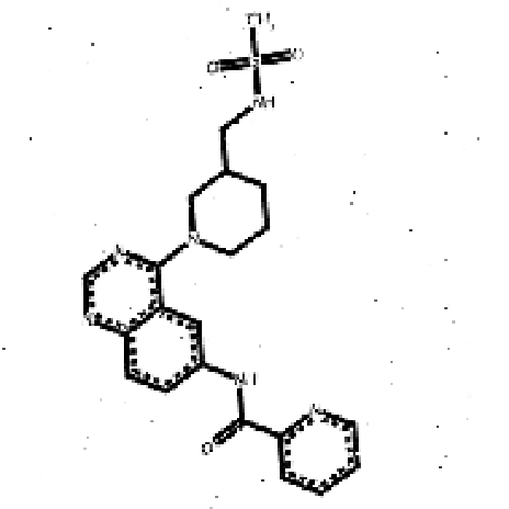 CS(=O)(=O)NCC1CCCN(c2ncnc3ccc(NC(=O)c4ccccn4)cc23)C1